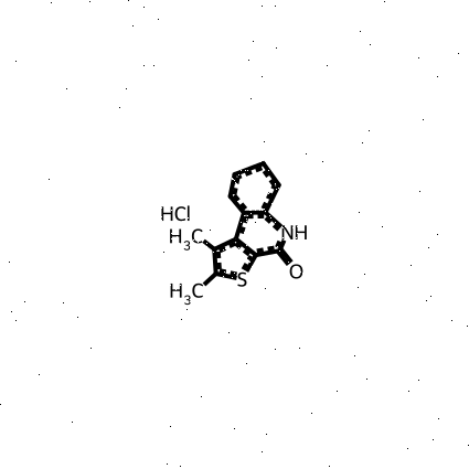 Cc1sc2c(=O)[nH]c3ccccc3c2c1C.Cl